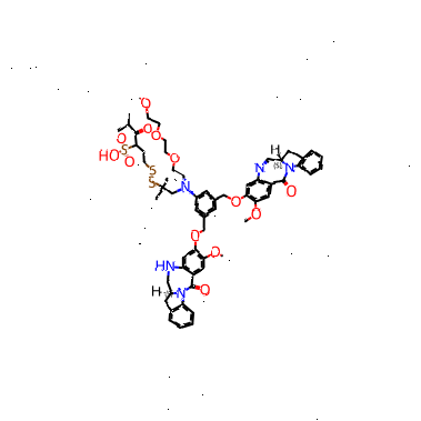 COCCOCCOCCN(CC(C)(C)SSCCC(C(=O)C(C)C)S(=O)(=O)O)c1cc(COc2cc3c(cc2OC)C(=O)N2c4ccccc4C[C@H]2C=N3)cc(COc2cc3c(cc2OC)C(=O)N2c4ccccc4C[C@H]2CN3)c1